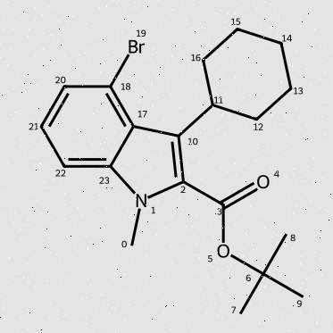 Cn1c(C(=O)OC(C)(C)C)c(C2CCCCC2)c2c(Br)cccc21